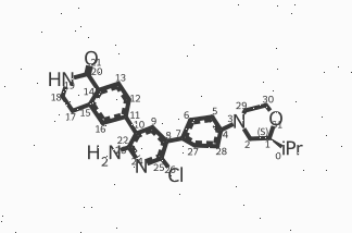 CC(C)[C@H]1CN(c2ccc(-c3cc(-c4ccc5c(c4)CCNC5=O)c(N)nc3Cl)cc2)CCO1